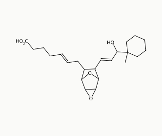 CC1(C(O)C=CC2C(CC=CCCCC(=O)O)C3OC2C2OC32)CCCCC1